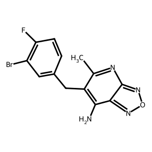 Cc1nc2nonc2c(N)c1Cc1ccc(F)c(Br)c1